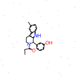 CCC(=O)N1CCc2c([nH]c3ccc(C)cc23)C1c1cccc(O)c1